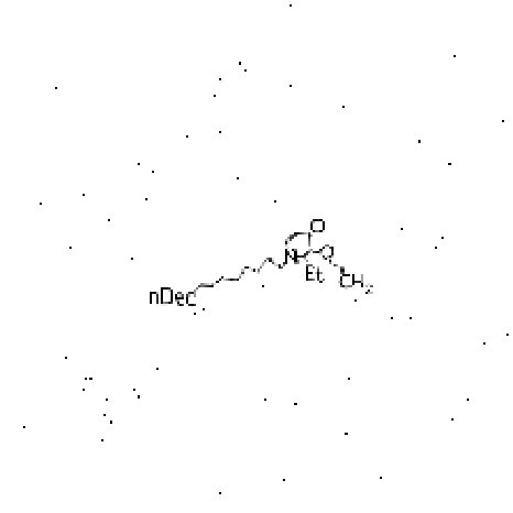 C=CCOc1c(CC)n(C=CCCCCCCCCCCCCCCCC)ccc1=O